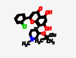 CN1CC[C@H](c2c(O)cc(O)c3c(=O)cc(-c4ccccc4Cl)oc23)C(O[Si](C)(C)C(C)(C)C)C1